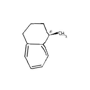 C[C@@H]1CCCc2ccccc21